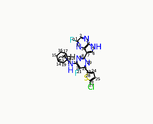 Fc1cnc2[nH]cc(-c3nc(N[C@@H]4CC5CCC4CC5)c(F)c(-c4ccc(Cl)s4)n3)c2n1